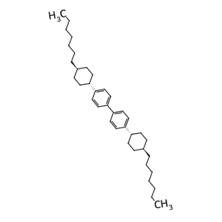 CCCCCCC[C@H]1CC[C@H](c2ccc(-c3ccc([C@H]4CC[C@H](CCCCCCC)CC4)cc3)cc2)CC1